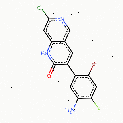 Nc1cc(-c2cc3cnc(Cl)cc3[nH]c2=O)c(Br)cc1F